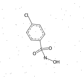 O=S(=O)([N]O)c1ccc(Cl)cc1